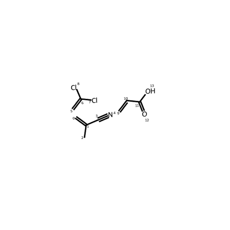 C=C(C)C#N.C=C(Cl)Cl.C=CC(=O)O